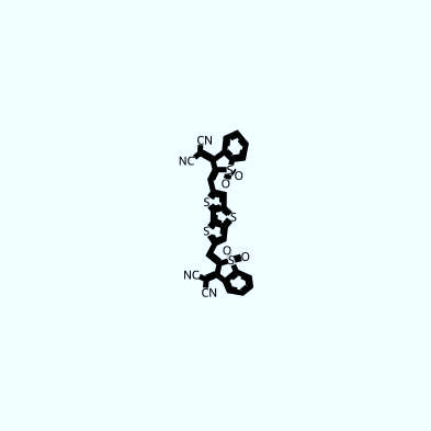 N#CC(C#N)=C1/C(=C/c2cc3sc4cc(/C=C5/C(=C(C#N)C#N)c6ccccc6S5(=O)=O)sc4c3s2)S(=O)(=O)c2ccccc21